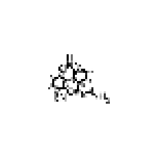 N#Cc1ccc(Cl)cc1OC(CCN)c1ccnc(N)c1